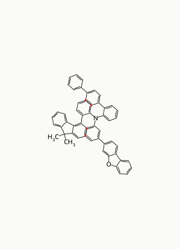 CC1(C)c2ccccc2-c2c(-c3ccccc3N(c3cccc(-c4ccc5c(c4)oc4ccccc45)c3)c3ccccc3-c3ccc(-c4ccccc4)cc3)cccc21